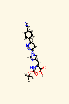 COC(=O)C(Cc1cn(-c2ccc(-c3ccc(C#N)cc3)nn2)cn1)NC(=O)OC(C)(C)C